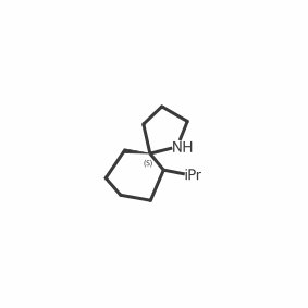 CC(C)C1CCCC[C@]12CCCN2